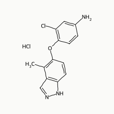 Cc1c(Oc2ccc(N)cc2Cl)ccc2[nH]ncc12.Cl